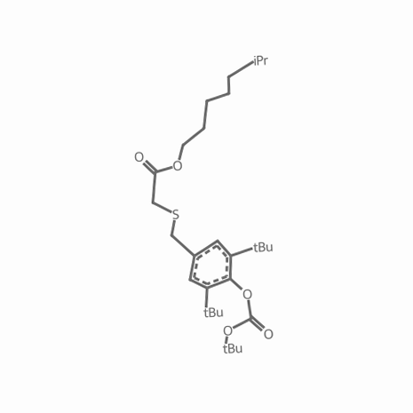 CC(C)CCCCCOC(=O)CSCc1cc(C(C)(C)C)c(OC(=O)OC(C)(C)C)c(C(C)(C)C)c1